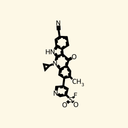 Cc1cc2c(=O)c3c4ccc(C#N)cc4[nH]c3n(C3CC3)c2cc1-c1cncc(S(=O)(=O)F)c1